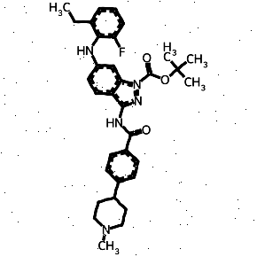 CCc1cccc(F)c1Nc1ccc2c(NC(=O)c3ccc(C4CCN(C)CC4)cc3)nn(C(=O)OC(C)(C)C)c2c1